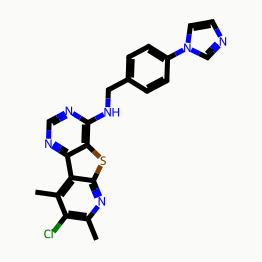 Cc1nc2sc3c(NCc4ccc(-n5ccnc5)cc4)ncnc3c2c(C)c1Cl